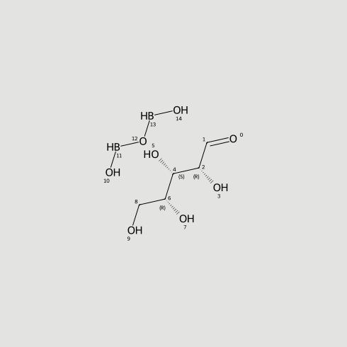 O=C[C@H](O)[C@@H](O)[C@H](O)CO.OBOBO